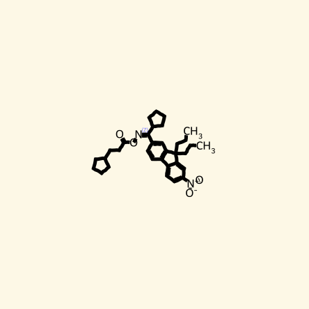 CCCC1(CCC)c2cc(/C(=N\OC(=O)CCC3CCCC3)C3CCCC3)ccc2-c2ccc([N+](=O)[O-])cc21